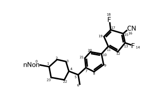 CCCCCCCCCC1CCC(C(C)c2ccc(-c3cc(F)c(C#N)c(F)c3)cc2)CC1